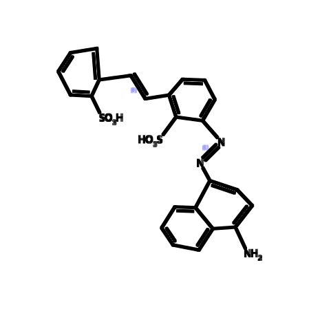 Nc1ccc(/N=N/c2cccc(/C=C/c3ccccc3S(=O)(=O)O)c2S(=O)(=O)O)c2ccccc12